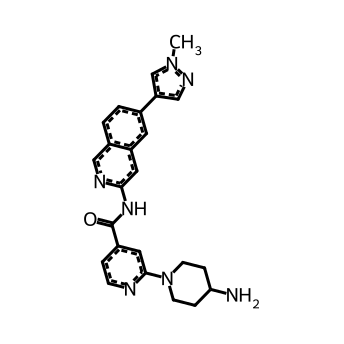 Cn1cc(-c2ccc3cnc(NC(=O)c4ccnc(N5CCC(N)CC5)c4)cc3c2)cn1